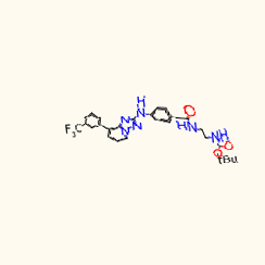 CC(C)(C)OC(=O)NCCNC(=O)c1ccc(Nc2nc3c(-c4cccc(C(F)(F)F)c4)cccn3n2)cc1